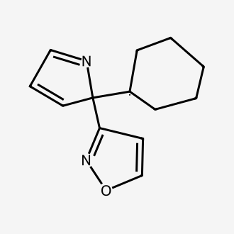 C1=CC([C]2CCCCC2)(c2ccon2)N=C1